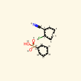 N#Cc1ccccc1F.O=S(=O)(O)c1ccccc1